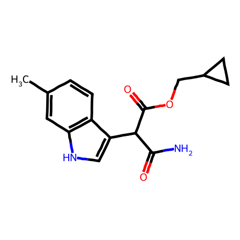 Cc1ccc2c(C(C(N)=O)C(=O)OCC3CC3)c[nH]c2c1